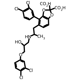 CC(Cc1ccc2c(c1-c1ccc(Cl)c(Cl)c1)OC(C(=O)O)(C(=O)O)O2)NCC(O)COc1ccc(Cl)c(Cl)c1